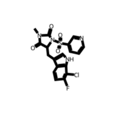 CN1C(=O)C(Cc2c[nH]c3c(Cl)c(F)ccc23)N(S(=O)(=O)c2cccnc2)C1=O